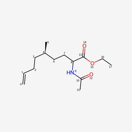 C=CCC[C@@H](C)CCC(NC(C)=O)C(=O)OCC